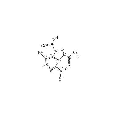 COC(=O)C1CC(C(=O)O)c2c(F)ccc([N+](=O)[O-])c21